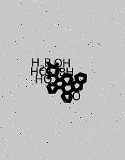 Bc1c(O)c(B)c(-c2c3ccccc3c(-c3cccc4oc5cc6ccccc6cc5c34)c3ccccc23)c(O)c1O